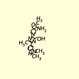 Cc1nc(N2CCC3(CC2)CO[C@@H](C)[C@H]3N)c(CO)nc1-c1ccc2nc(C)n(C)c2c1